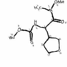 CON(C)C(=O)C(NC(=O)OC(C)(C)C)C1CCOC1